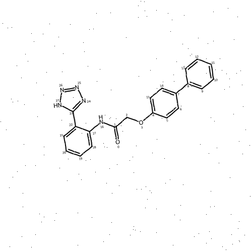 O=C(COc1ccc(-c2ccccc2)cc1)Nc1ccccc1-c1nnn[nH]1